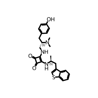 C[C@@H](Cc1csc2ccccc12)Nc1c(NC[C@H](Cc2ccc(O)cc2)N(C)C)c(=O)c1=O